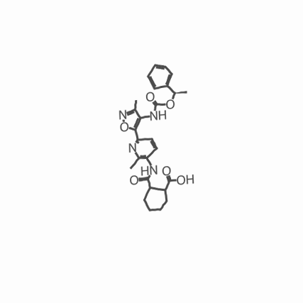 Cc1nc(-c2onc(C)c2NC(=O)O[C@H](C)c2ccccc2)ccc1NC(=O)C1CCCCC1C(=O)O